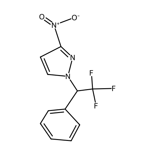 O=[N+]([O-])c1ccn(C(c2ccccc2)C(F)(F)F)n1